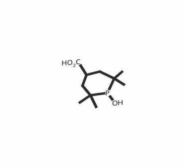 CC1(C)CC(C(=O)O)CC(C)(C)P1O